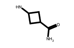 [NH]C1CC(C(N)=O)C1